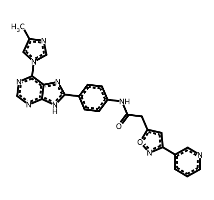 Cc1cn(-c2ncnc3[nH]c(-c4ccc(NC(=O)Cc5cc(-c6cccnc6)no5)cc4)nc23)cn1